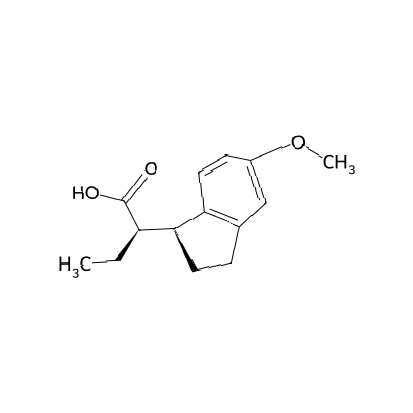 CC[C@@H](C(=O)O)[C@@H]1CCc2cc(OC)ccc21